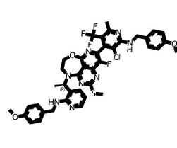 COc1ccc(CNc2ncccc2[C@@H](C)N2CCOc3nc(-c4c(Cl)c(NCc5ccc(OC)cc5)nc(C)c4C(F)(F)F)c(F)c4nc(SC)nc2c34)cc1